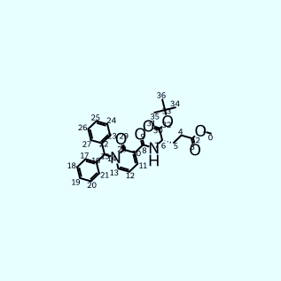 COC(=O)CC[C@H](NC(=O)c1cccn(C(c2ccccc2)c2ccccc2)c1=O)C(=O)OC(C)(C)C